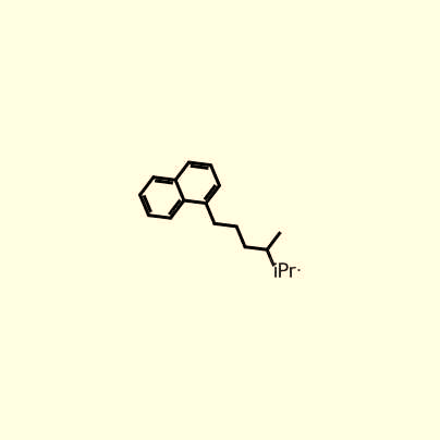 C[C](C)C(C)CCCc1cccc2ccccc12